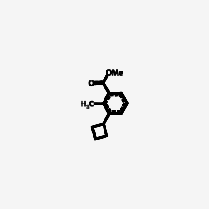 COC(=O)c1cccc(C2CCC2)c1C